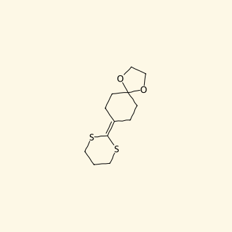 C1CSC(=C2CCC3(CC2)OCCO3)SC1